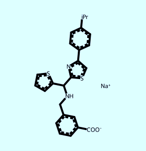 CC(C)c1ccc(-c2csc(C(NCc3cccc(C(=O)[O-])c3)c3cccs3)n2)cc1.[Na+]